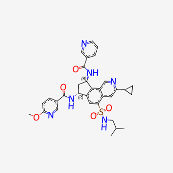 COc1ccc(C(=O)N[C@@H]2C[C@@H](NC(=O)c3cccnc3)c3c2cc(S(=O)(=O)NCC(C)C)c2cc(C4CC4)ncc32)cn1